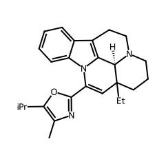 CCC12C=C(c3nc(C)c(C(C)C)o3)n3c4c(c5ccccc53)CCN(CCC1)[C@H]42